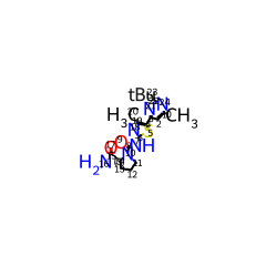 Cc1cc(-c2sc(NC(=O)N3CCC[C@H]3C(N)=O)nc2C)nc(C(C)(C)C)n1